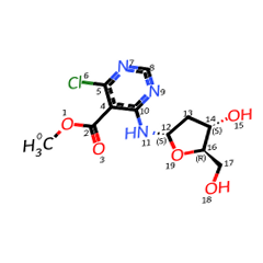 COC(=O)c1c(Cl)ncnc1N[C@@H]1C[C@H](O)[C@@H](CO)O1